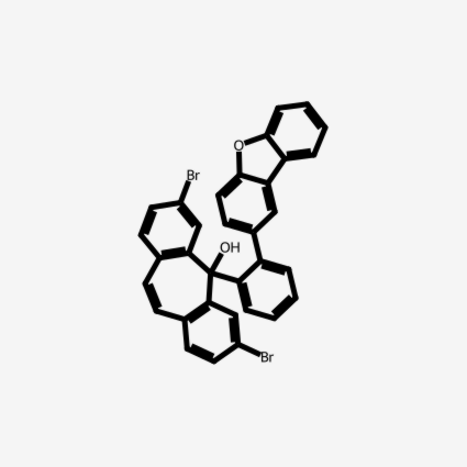 OC1(c2ccccc2-c2ccc3oc4ccccc4c3c2)c2cc(Br)ccc2C=Cc2ccc(Br)cc21